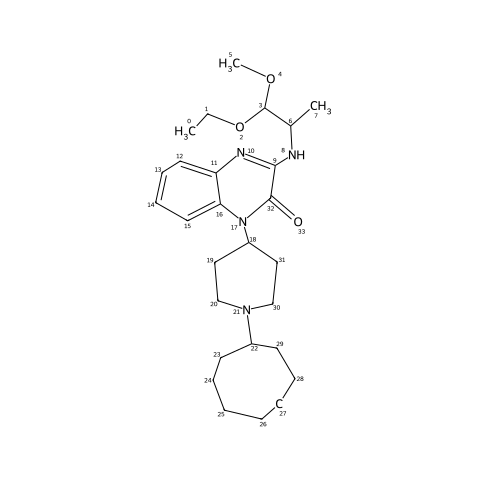 CCOC(OC)C(C)Nc1nc2ccccc2n(C2CCN(C3CCCCCCC3)CC2)c1=O